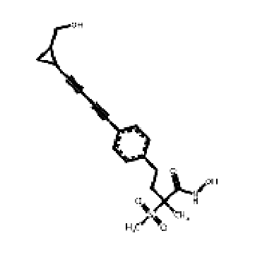 CC(CCc1ccc(C#CC#CC2CC2CO)cc1)(C(=O)NO)S(C)(=O)=O